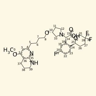 COc1cc(CCCCO[C@@H]2CCN([C@@H](C(=O)O)c3cc(F)ccc3[C@@H]3CCC(F)(F)CO3)C2)nc2c1CCCN2